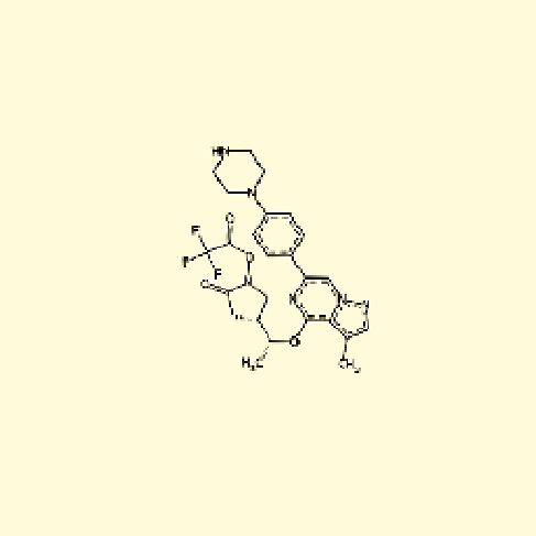 Cc1cnn2cc(-c3ccc(N4CCNCC4)cc3)nc(O[C@H](C)[C@@H]3CC(=O)N(OC(=O)C(F)(F)F)C3)c12